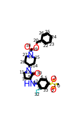 CS(=O)(=O)c1ccc(N[C@H]2CCN(C3CCN(C(=O)OCc4ccccc4)CC3)C2=O)c(F)c1